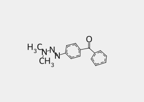 CN(C)N=Nc1ccc(C(=O)c2ccccc2)cc1